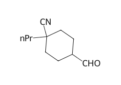 CCCC1(C#N)CCC(C=O)CC1